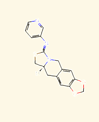 c1cncc(N=C2SC[C@H]3Cc4cc5c(cc4CN23)OCO5)c1